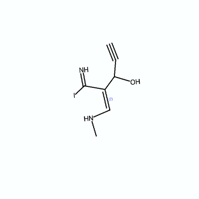 C#CC(O)/C(=C/NC)C(=N)I